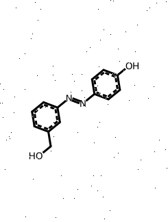 OCc1cccc(N=Nc2ccc(O)cc2)c1